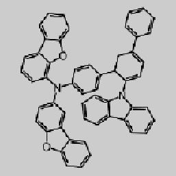 C1=C(c2ccccc2)CC(c2ccc(N(c3ccc4oc5ccccc5c4c3)c3cccc4c3oc3ccccc34)cc2)C(n2c3ccccc3c3ccccc32)=C1